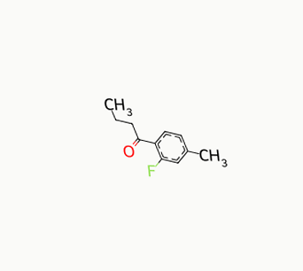 CCCC(=O)c1ccc(C)cc1F